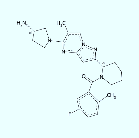 Cc1ccc(F)cc1C(=O)N1CCCC[C@H]1c1cc2nc(N3CC[C@H](N)C3)c(C)cn2n1